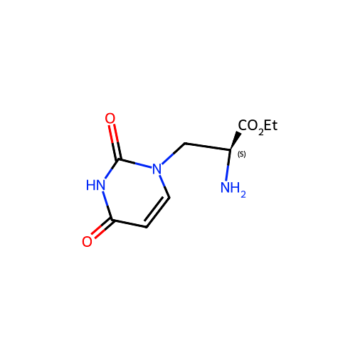 CCOC(=O)[C@@H](N)Cn1ccc(=O)[nH]c1=O